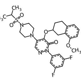 COc1cccc2c1CC(Oc1c(N3CCN(S(=O)(=O)C(C)C)CC3)cnn(-c3cc(F)cc(F)c3)c1=O)CC2